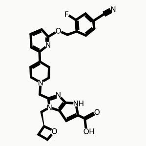 N#Cc1ccc(COc2cccc(C3=CCN(Cc4nc5[nH]c(C(=O)O)cc5n4C[C@@H]4CCO4)CC3)n2)c(F)c1